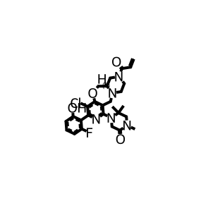 C=CC(=O)N1CCN2Cc3c(N4CC(=O)N(C)CC4(C)C)nc(-c4c(O)cccc4F)c(Cl)c3OC[C@H]2C1